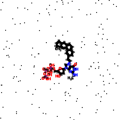 CNc1nc2c(c(=O)[nH]1)N(/C=C/c1ccc3ccc4cc5c(cc4c3c1)C(C)C=C5)CN2C1CC(O)C(COP(=O)(O)OP(=O)(O)OP(=O)(O)O)O1